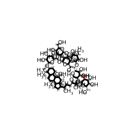 C[C@@H]1[C@@H](O)[C@H](OC[C@H]2O[C@@H](O[C@H](CC[C@@H](C)C3CC[C@@]4(C)C5CC=C6C(CC[C@H](O[C@@H]7O[C@H](CO[C@H]8O[C@H](CO)[C@@H](O)[C@H](O)[C@H]8O)[C@@H](O)[C@H](O)[C@H]7O)C6(C)C)[C@]5(C)[C@H](O)C[C@]34C)C(C)(C)O)[C@H](O[C@H]3O[C@@H](CO)[C@H](O)[C@@H](O)[C@@H]3O)[C@@H](O)[C@@H]2O)O[C@H](CO[C@@H]2O[C@H](CO)[C@@H](O)[C@H](O)[C@H]2O)[C@H]1O